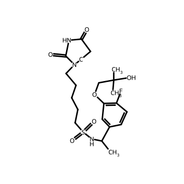 CC(NS(=O)(=O)CCCCCN1CCC(=O)NC1=O)c1ccc(F)c(OCC(C)(C)O)c1